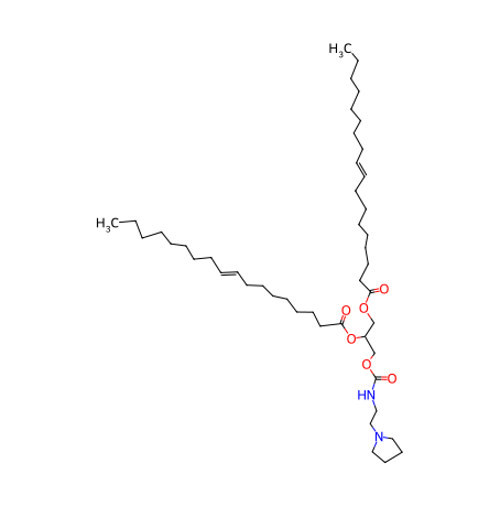 CCCCCCCCC=CCCCCCCCC(=O)OCC(COC(=O)NCCN1CCCC1)OC(=O)CCCCCCCC=CCCCCCCCC